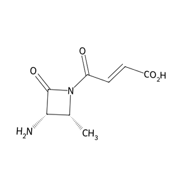 C[C@@H]1[C@H](N)C(=O)N1C(=O)/C=C/C(=O)O